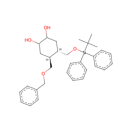 CC(C)(C)[Si](OC[C@H]1CC(O)C(O)C[C@@H]1COCc1ccccc1)(c1ccccc1)c1ccccc1